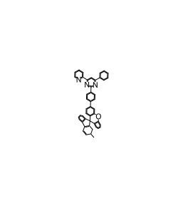 CC1C=CC2=C(C1)C1(c3ccccc3Oc3cc(-c4ccc(-c5nc(-c6ccccc6)cc(-c6ccccn6)n5)cc4)ccc31)c1ccccc12